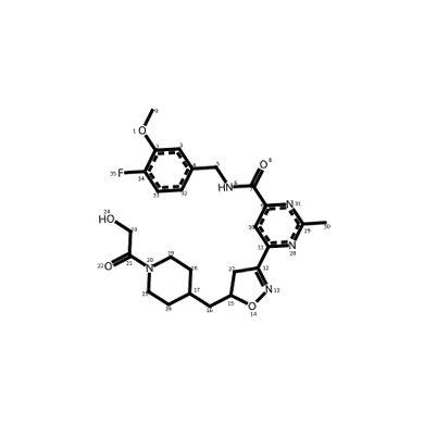 COc1cc(CNC(=O)c2cc(C3=NOC(CC4CCN(C(=O)CO)CC4)C3)nc(C)n2)ccc1F